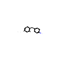 COc1ccc(Cc2ccc(N)cc2)c(C)c1